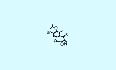 Cc1c(C(=S)c2cnoc2C2CC2)ccc(Br)c1OC(C)C